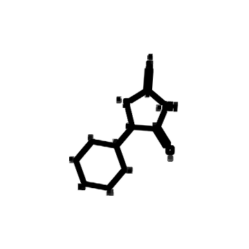 O=C1NC(=S)SC1C1CCCCC1